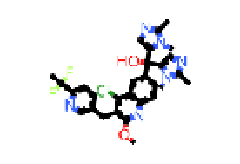 COc1nc2ccc(C(O)(c3cnc(C)n3C)c3cnc(C)n3C)cc2c(Cl)c1Cc1ccc(C(C)(F)F)nc1